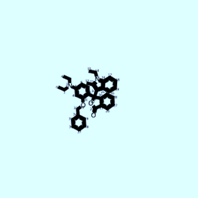 CCN(CC)c1ccc(C2(c3c(C)n(CC)c4ccccc34)OC(=O)c3ccccc32)c(OCc2ccccc2)c1